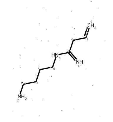 C=CCC(=N)NCCCCN